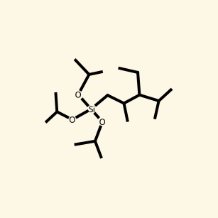 CCC(C(C)C)C(C)C[Si](OC(C)C)(OC(C)C)OC(C)C